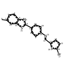 Cc1ccc2nc(-c3ccc(N=Cc4ccc(Br)s4)cc3)sc2c1